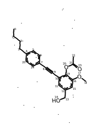 CCCCc1ccc(C#Cc2cc(CO)cc(OC)c2OC(C)=O)cc1